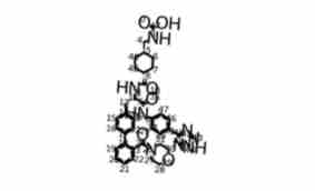 O=C(O)NC[C@H]1CC[C@H](C(=O)N[C@@H](Cc2ccc(-c3ccccc3C(=O)N3CCOCC3)cc2)C(=O)Nc2ccc(-c3nn[nH]n3)cc2)CC1